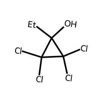 CCC1(O)C(Cl)(Cl)C1(Cl)Cl